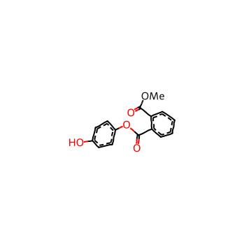 COC(=O)c1ccccc1C(=O)Oc1ccc(O)cc1